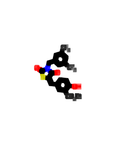 CCOC(=O)c1cc(C=C2SC(=O)N(Cc3cc(C(F)(F)F)cc(C(F)(F)F)c3)C2=O)ccc1O